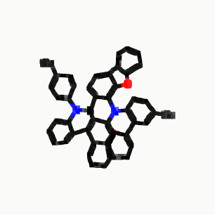 CC(C)(C)c1ccc(N2B3c4ccc5c(oc6ccccc65)c4N(c4ccc(C(C)(C)C)cc4-c4ccccc4)c4cc5ccccc5c(c43)-c3ccccc32)cc1